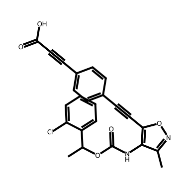 Cc1noc(C#Cc2ccc(C#CC(=O)O)cc2)c1NC(=O)OC(C)c1ccccc1Cl